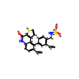 COc1cc(-c2c(OC)ccc3[nH]c(=O)c4sccc4c23)ccc1CN[SH](=O)=O